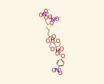 O=C(CCC[C@H](CO[N+](=O)[O-])O[N+](=O)[O-])O[C@H]1CO[C@H]2[C@@H]1OC[C@@H]2OC(=O)Oc1ccc([N+](=O)[O-])cc1